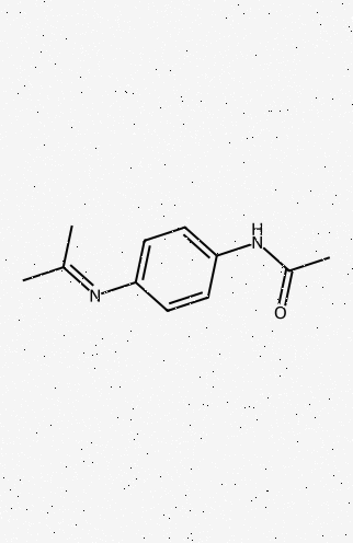 CC(=O)Nc1ccc(N=C(C)C)cc1